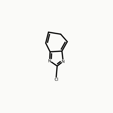 ClC1=NC2=CCC=CC2=N1